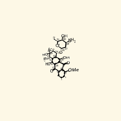 COc1cccc2c1C(=O)c1c(O)c3c(c(O)c1C2=O)C[C@@](O)(C(C)=O)C[C@@H]3O[C@H]1C[C@H](N)[C@H](O)[C@H](C)O1.[PbH2]